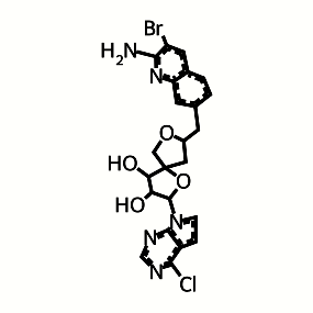 Nc1nc2cc(CC3CC4(CO3)OC(n3ccc5c(Cl)ncnc53)C(O)C4O)ccc2cc1Br